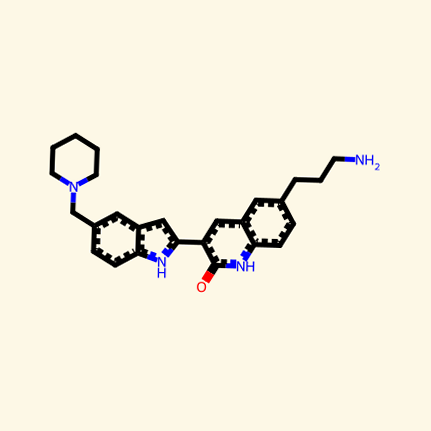 NCCCc1ccc2[nH]c(=O)c(-c3cc4cc(CN5CCCCC5)ccc4[nH]3)cc2c1